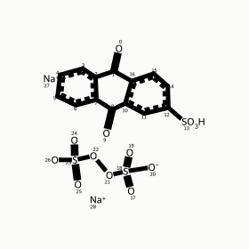 O=C1c2ccccc2C(=O)c2cc(S(=O)(=O)O)ccc21.O=S(=O)([O-])OOS(=O)(=O)[O-].[Na+].[Na+]